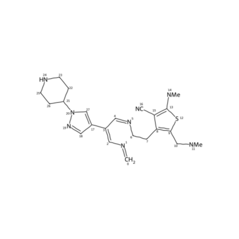 C=N/C=C(\C=N/CCc1c(CNC)sc(NC)c1C#N)c1cnn(C2CCNCC2)c1